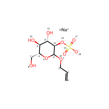 C=CCOC1O[C@H](CO)[C@@H](O)[C@H](O)[C@H]1OS(=O)(=O)[O-].[Na+]